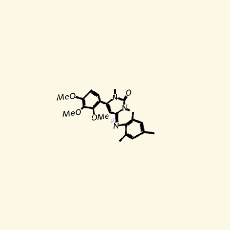 COc1ccc(-c2c/c(=N/c3c(C)cc(C)cc3C)n(C)c(=O)n2C)c(OC)c1OC